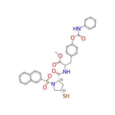 COC(=O)C(Cc1ccc(OC(=O)Nc2ccccc2)cc1)NC(=O)[C@@H]1C[C@H](S)CN1S(=O)(=O)c1ccc2ccccc2c1